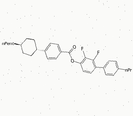 CCCCC[C@H]1CC[C@H](c2ccc(C(=O)Oc3ccc(-c4ccc(CCC)cc4)c(F)c3F)cc2)CC1